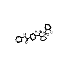 NC(c1ccc(C(=O)Nc2ccncc2)cc1)C1CCCN1S(=O)(=O)c1ccccc1Cl